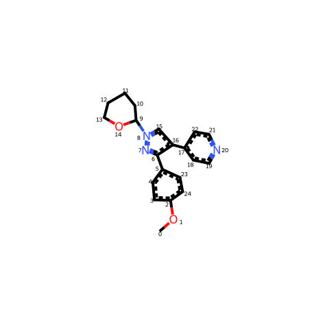 COc1ccc(-c2nn(C3CCCCO3)cc2-c2ccncc2)cc1